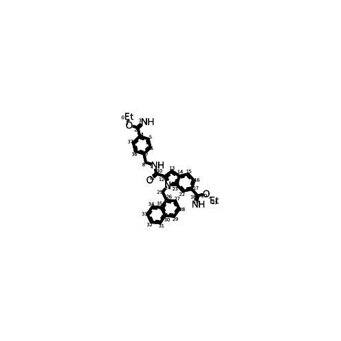 CCOC(=N)c1ccc(CNC(=O)c2cc3ccc(C(=N)OCC)cc3n2Cc2cccc3ccccc23)cc1